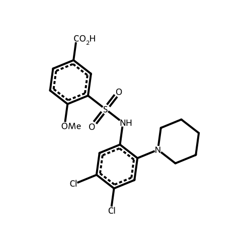 COc1ccc(C(=O)O)cc1S(=O)(=O)Nc1cc(Cl)c(Cl)cc1N1CCCCC1